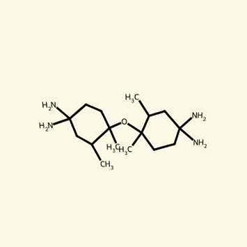 CC1CC(N)(N)CCC1(C)OC1(C)CCC(N)(N)CC1C